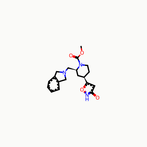 COC(=O)N1CC[C@@H](c2cc(=O)[nH]o2)C[C@H]1CN1Cc2ccccc2C1